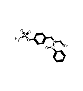 CC(C)CN(Cc1ccc(OS(C)(=O)=O)cc1)[S+]([O-])c1ccccc1